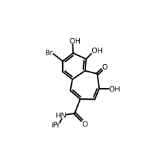 CC(C)NC(=O)c1cc(O)c(=O)c2c(O)c(O)c(Br)cc2c1